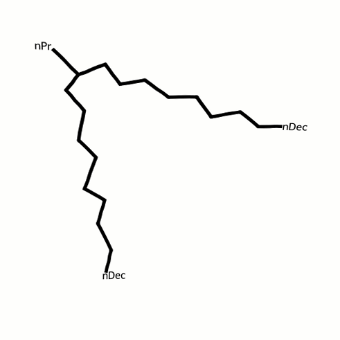 [CH2]CCC(CCCCCCCCCCCCCCCCCC)CCCCCCCCCCCCCCCCCC